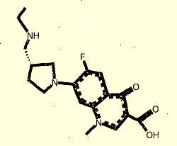 CCNC[C@H]1CCN(c2cc3c(cc2F)c(=O)c(C(=O)O)cn3C)C1